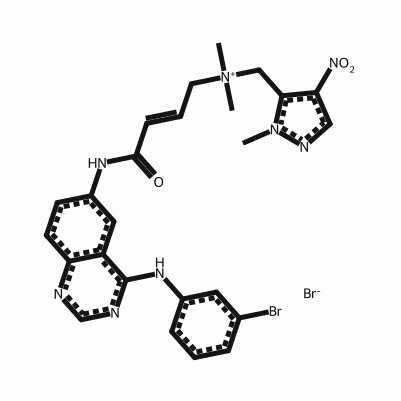 Cn1ncc([N+](=O)[O-])c1C[N+](C)(C)C/C=C/C(=O)Nc1ccc2ncnc(Nc3cccc(Br)c3)c2c1.[Br-]